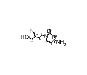 Nc1ccn(CCC(=CF)CO)c(=O)n1